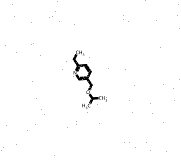 CCc1ccc(COC(C)C)cn1